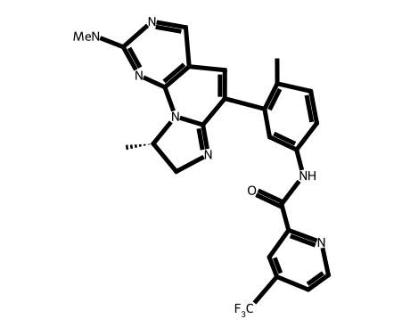 CNc1ncc2c(n1)N1C(=NC[C@@H]1C)C(c1cc(NC(=O)c3cc(C(F)(F)F)ccn3)ccc1C)=C2